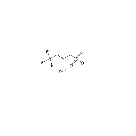 O=S(=O)([O-])CCCC(F)(F)F.[Na+]